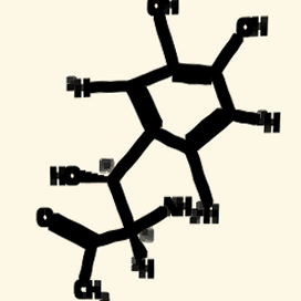 [2H]c1c([2H])c([C@@H](O)[C@]([2H])(N)C(C)=O)c([2H])c(O)c1O